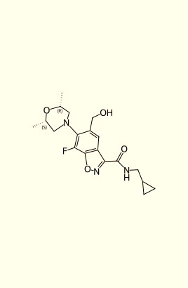 C[C@@H]1CN(c2c(CO)cc3c(C(=O)NCC4CC4)noc3c2F)C[C@H](C)O1